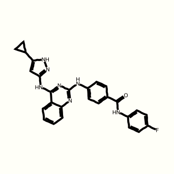 O=C(Nc1ccc(F)cc1)c1ccc(Nc2nc(Nc3cc(C4CC4)[nH]n3)c3ccccc3n2)cc1